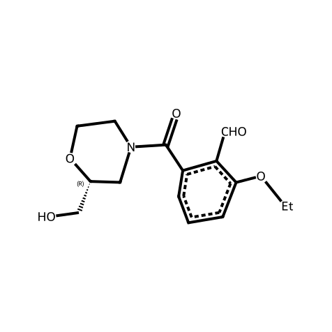 CCOc1cccc(C(=O)N2CCO[C@@H](CO)C2)c1C=O